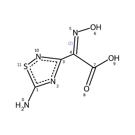 Nc1nc(/C(=N/O)C(=O)O)ns1